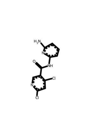 Nc1cccc(NC(=O)c2cnc(Cl)cc2Cl)n1